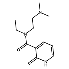 CCN(CCN(C)C)C(=O)c1ccc[nH]c1=S